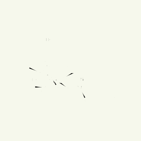 CO[C@]12C=C[C@@]3(C[C@@H]1[C@](C)(O)C(C)(C)C)[C@H]1Cc4ccc(O)c5c4[C@@]3(CCN1CC1CC1)[C@H]2O5